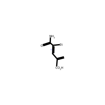 C=C(/C=C(\CC)C(N)=O)C(=O)O